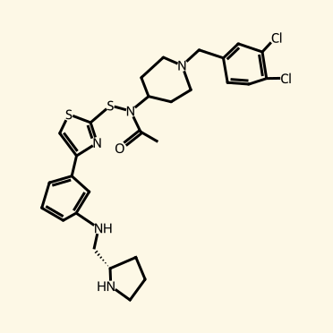 CC(=O)N(Sc1nc(-c2cccc(NC[C@@H]3CCCN3)c2)cs1)C1CCN(Cc2ccc(Cl)c(Cl)c2)CC1